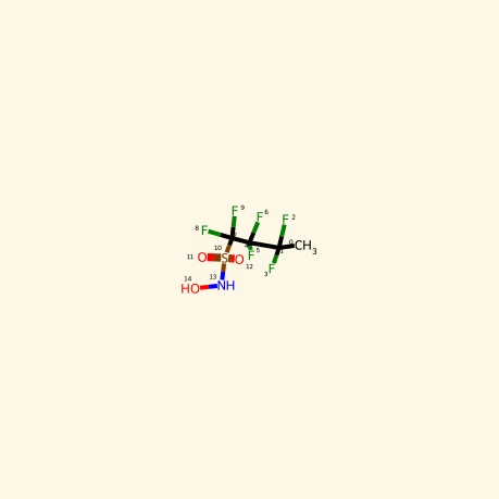 CC(F)(F)C(F)(F)C(F)(F)S(=O)(=O)NO